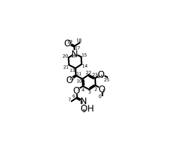 COc1cc(OC(C)=NO)c(C(=O)C2CCN(C(C)=O)CC2)cc1OC